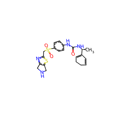 C[C@H](NC(=O)Nc1ccc(S(=O)(=O)Cc2nc3c(s2)CNC3)cc1)C1=CCCC=C1